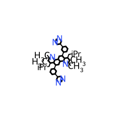 Cc1nc2c(c(-c3cccc(-c4cncnc4)c3)cc3c2cc(-c2cccc(-c4cncnc4)c2)c2c(CC(C)C)c(C)c(C)nc23)c(CC(C)C)c1C